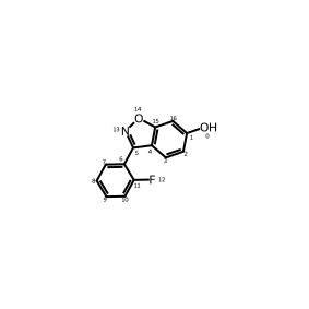 Oc1ccc2c(-c3ccccc3F)noc2c1